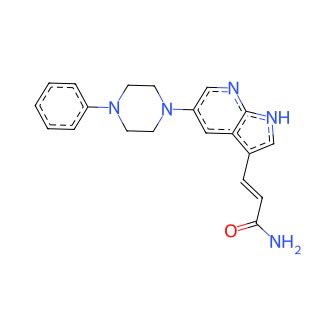 NC(=O)C=Cc1c[nH]c2ncc(N3CCN(c4ccccc4)CC3)cc12